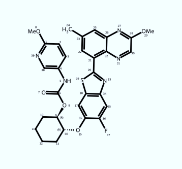 COc1ccc(NC(=O)O[C@@H]2CCCC[C@H]2Oc2cc3sc(-c4cc(C)cc5nc(OC)cnc45)nc3cc2F)cn1